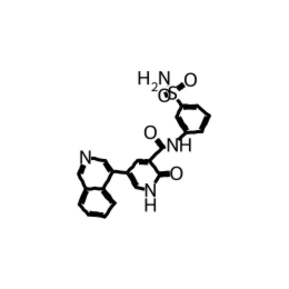 NS(=O)(=O)c1cccc(NC(=O)c2cc(-c3cncc4ccccc34)c[nH]c2=O)c1